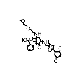 COCCOCCNC(=O)CC(NCc1ncc(-c2cc(Cl)ccc2Cl)o1)C(=O)Nc1ccccc1C(=O)O